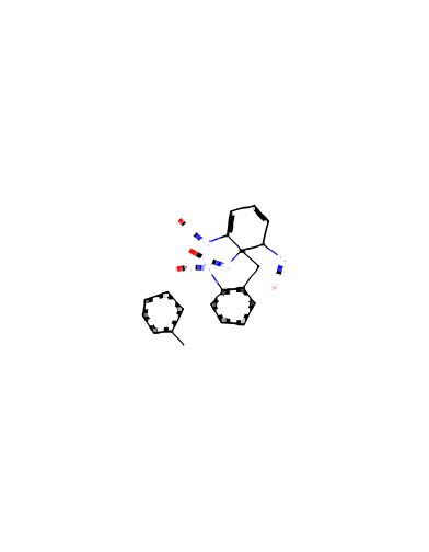 Cc1ccccc1.O=C=NC1=CC=CC(N=C=O)C1(Cc1ccccc1N=C=O)N=C=O